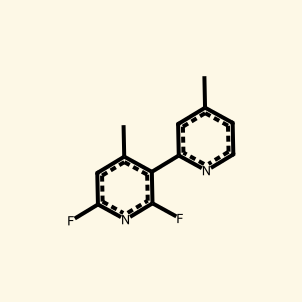 Cc1ccnc(-c2c(C)cc(F)nc2F)c1